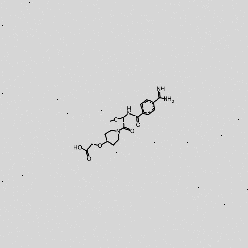 CCC(NC(=O)c1ccc(C(=N)N)cc1)C(=O)N1CCC(OCC(=O)O)CC1